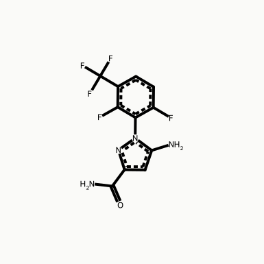 NC(=O)c1cc(N)n(-c2c(F)ccc(C(F)(F)F)c2F)n1